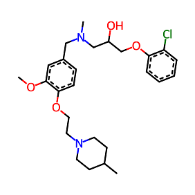 COc1cc(CN(C)CC(O)COc2ccccc2Cl)ccc1OCCN1CCC(C)CC1